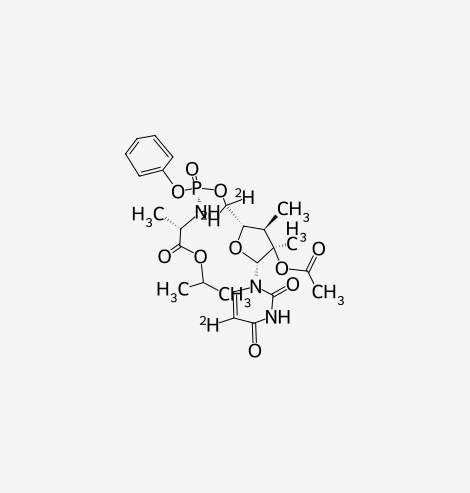 [2H]c1cn([C@@H]2O[C@H](C([2H])([2H])O[P@@](=O)(N[C@@H](C)C(=O)OC(C)C)Oc3ccccc3)[C@@H](C)[C@@]2(C)OC(C)=O)c(=O)[nH]c1=O